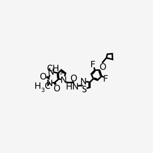 Cn1c(=O)c2c(ccn2CC(=O)Nc2nc(-c3cc(F)c(OCC4CCC4)c(F)c3)cs2)n(C)c1=O